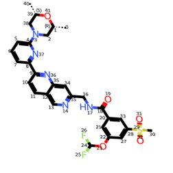 C[C@@H]1CN(c2cccc(-c3ccc4cnc(CNC(=O)c5cc(OC(F)F)cc(S(C)(=O)=O)c5)cc4n3)n2)C[C@H](C)O1